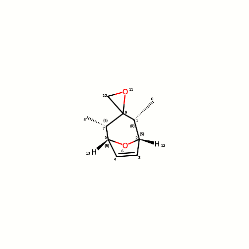 C[C@@H]1[C@@H]2C=C[C@@H](O2)[C@H](C)C12CO2